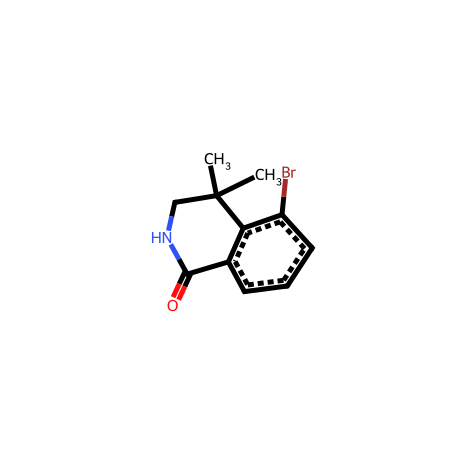 CC1(C)CNC(=O)c2cccc(Br)c21